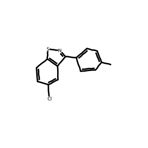 Cc1ccc(-c2nsc3ccc(Cl)cc23)cc1